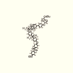 CC(C)(C)OC1COC2C(Oc3ccc(-c4ccc(C(C)(C)CC(C)(C)Oc5ccc(C(C)(C)c6ccc(Oc7ccc(S(=O)(=O)c8ccc(C(C)(C)C)cc8)cc7)cc6)cc5)cc4)cc3)COC12